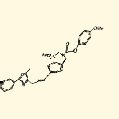 COc1ccc(OC(=O)N(CC(=O)O)Cc2ccc(CCCc3nc(-c4ccccc4)oc3C)cc2)cc1